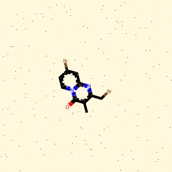 Cc1c(CBr)nc2cc(Br)ccn2c1=O